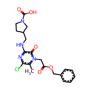 Cc1c(Cl)nc(NCC2CCN(C(=O)O)C2)c(=O)n1CC(=O)OCc1ccccc1